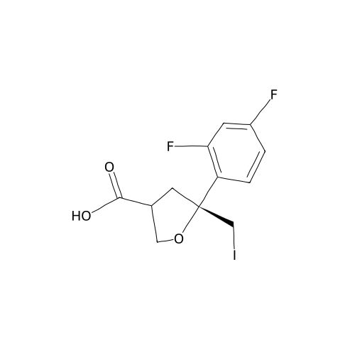 O=C(O)C1CO[C@@](CI)(c2ccc(F)cc2F)C1